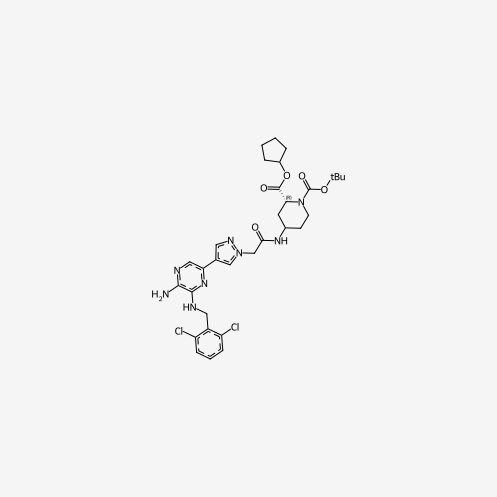 CC(C)(C)OC(=O)N1CCC(NC(=O)Cn2cc(-c3cnc(N)c(NCc4c(Cl)cccc4Cl)n3)cn2)C[C@@H]1C(=O)OC1CCCC1